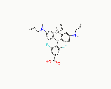 C=CCN(C)c1ccc2c(c1)[Si](C)(C=C)c1cc(N(C)CC=C)ccc1C2c1c(F)cc(C(=O)O)cc1F